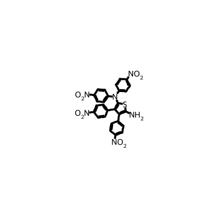 Nc1sc(N(c2ccc([N+](=O)[O-])cc2)c2ccc([N+](=O)[O-])cc2)c(-c2ccc([N+](=O)[O-])cc2)c1-c1ccc([N+](=O)[O-])cc1